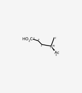 CC(=O)[C@H](C)CCC(=O)O